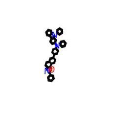 C1=C(C2=CC3=CC=C4N=C(c5ccccc5)OC4C3CC2)CCC(N(c2ccccc2)c2ccc3c4ccccc4n(-c4ccccc4)c3c2)=C1